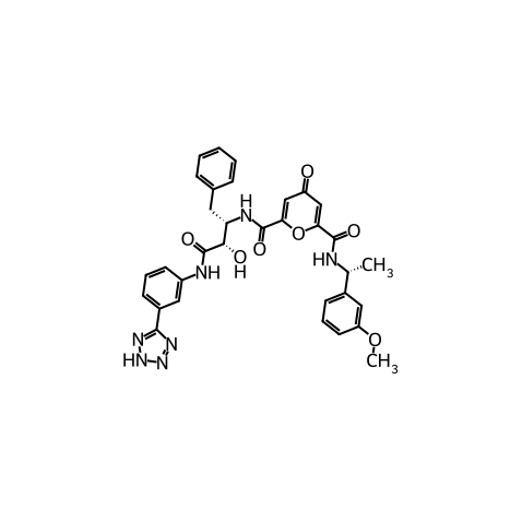 COc1cccc([C@@H](C)NC(=O)c2cc(=O)cc(C(=O)N[C@@H](Cc3ccccc3)[C@H](O)C(=O)Nc3cccc(-c4nn[nH]n4)c3)o2)c1